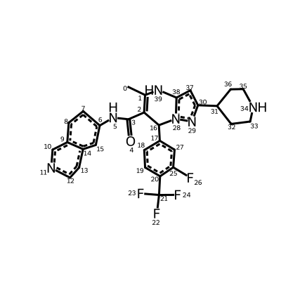 CC1=C(C(=O)Nc2ccc3cnccc3c2)C(c2ccc(C(F)(F)F)c(F)c2)n2nc(C3CCNCC3)cc2N1